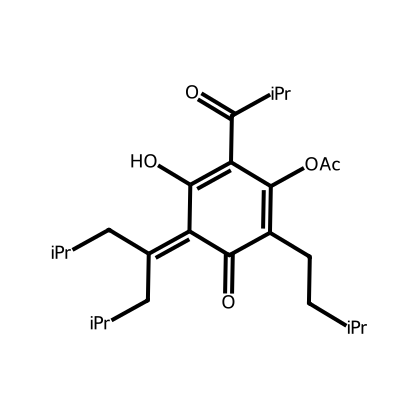 CC(=O)OC1=C(CCC(C)C)C(=O)C(=C(CC(C)C)CC(C)C)C(O)=C1C(=O)C(C)C